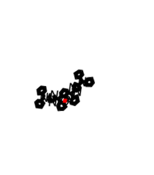 O=P12c3ccccc3C(c3ncc(N(c4ccccc4)c4ccccc4)cn3)c3cccc(c31)C(c1ncc(N(c3ccccc3)c3ccccc3)cn1)c1ccccc12